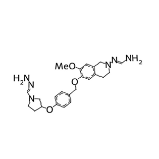 COc1cc2c(cc1OCc1ccc(OC3CCN(C=NN)C3)cc1)CCN(N=CN)C2